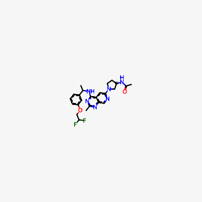 CC(=O)N[C@@H]1CCN(c2cc3c(NC(C)c4cccc(OCC(F)F)c4)nc(C)nc3cn2)C1